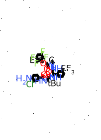 CCOC(=O)CN(NC(=O)C(NC(=O)[C@@H](NC(=O)c1ccc(N)c(Cl)c1)C(C)(C)C)c1cccc(C(F)(F)F)c1)C(=O)COc1c(F)c(F)cc(F)c1F